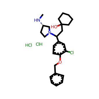 CN[C@H]1CCN(C(CC2(O)CCCCC2)c2ccc(OCc3ccccc3)c(Cl)c2)C1.Cl.Cl